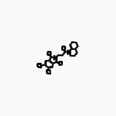 O=C(CCN1C(=O)c2cc(Cl)c(Cl)cc2C1=O)N1CCCC2CCCC=C21